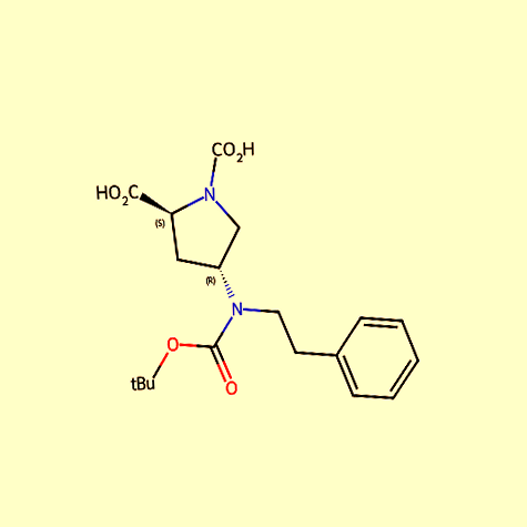 CC(C)(C)OC(=O)N(CCc1ccccc1)[C@@H]1C[C@@H](C(=O)O)N(C(=O)O)C1